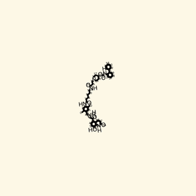 Cc1cc(NC(=O)CCCCCNC(=O)CCN2CCC(OC(=O)Nc3ccccc3-c3ccccc3)CC2)c(C)cc1CNCC(O)c1ccc(O)c2[nH]c(=O)ccc12